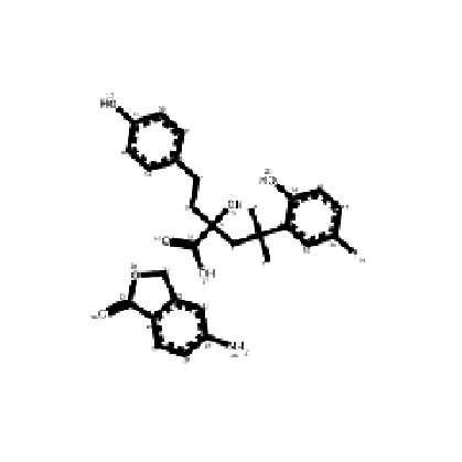 CC(C)(CC(O)(CCc1ccc(O)cc1)C(=O)O)c1cc(F)ccc1O.Nc1ccc2c(c1)COC2=O